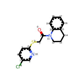 O=C(CSc1ccc(Cl)cn1)N1CCCc2ccccc21